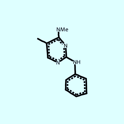 CNc1nc(Nc2ccccc2)ncc1C